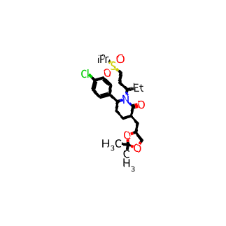 CCC(CCS(=O)(=O)C(C)C)N1C(=O)C(CC2COC(C)(C)O2)CCC1c1ccc(Cl)cc1